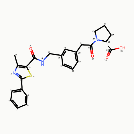 Cc1nc(-c2ccccc2)sc1C(=O)NCc1cccc(CC(=O)N2CCC[C@@H]2C(=O)O)c1